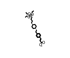 CCO[Si](CCCC[C@H]1CC[C@H](CCc2ccc(/C=C/C(=O)OC)cc2)CC1)(OCC)OCC